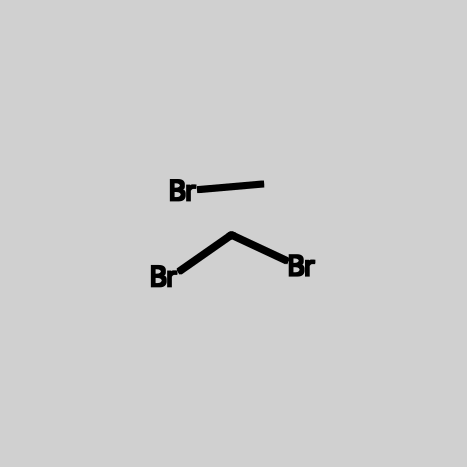 BrCBr.CBr